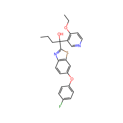 CCCC(O)(c1nc2ccc(Oc3ccc(F)cc3)cc2s1)c1cnccc1OCC